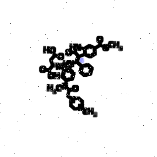 COC(=O)c1ccc2c(c1)NC(=O)/C2=C(\Nc1ccc(N(C)C(=O)CN2CCN(C)CC2)cc1)c1ccccc1.N[C@@H](CC(=O)O)C(=O)O